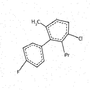 Cc1[c]cc(Cl)c(C(C)C)c1-c1ccc(F)cc1